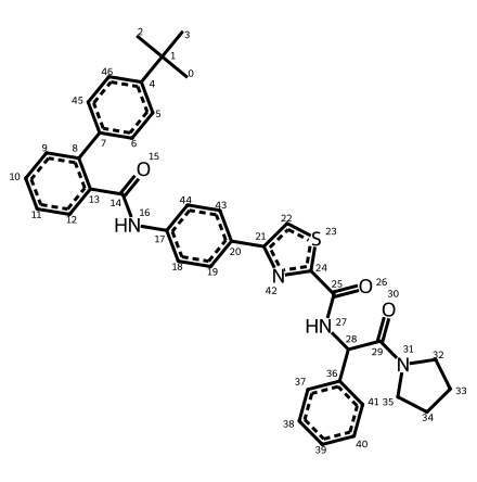 CC(C)(C)c1ccc(-c2ccccc2C(=O)Nc2ccc(-c3csc(C(=O)NC(C(=O)N4CCCC4)c4ccccc4)n3)cc2)cc1